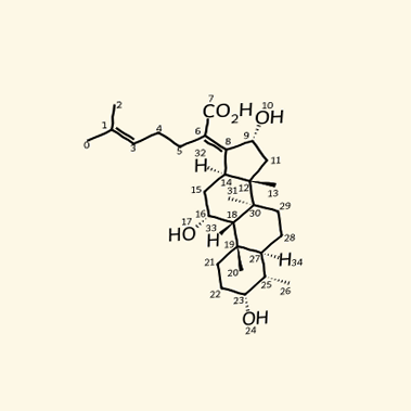 CC(C)=CCC/C(C(=O)O)=C1/[C@H](O)C[C@@]2(C)[C@H]1C[C@@H](O)[C@H]1[C@@]3(C)CC[C@@H](O)[C@@H](C)[C@@H]3CC[C@@]12C